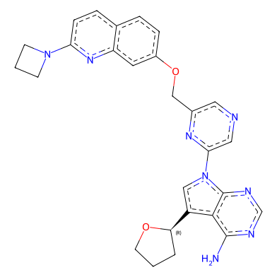 Nc1ncnc2c1c([C@H]1CCCO1)cn2-c1cncc(COc2ccc3ccc(N4CCC4)nc3c2)n1